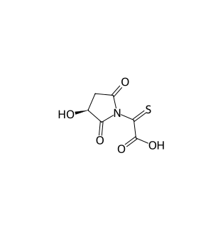 O=C(O)C(=S)N1C(=O)C[C@H](O)C1=O